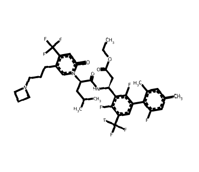 CCOC(=O)C[C@H](NC(=O)C(CC(C)C)n1cc(CCCN2CCC2)c(C(F)(F)F)cc1=O)c1c(F)c(-c2c(C)cc(C)cc2F)cc(C(F)(F)F)c1F